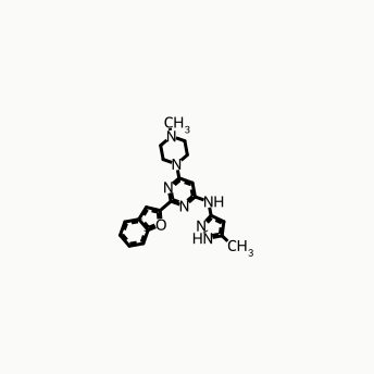 Cc1cc(Nc2cc(N3CCN(C)CC3)nc(-c3cc4ccccc4o3)n2)n[nH]1